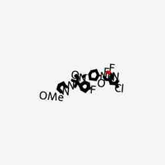 COc1cccc(N2CC3(C2)C(=O)N(C[C@H]2CC[C@H](NC(=O)c4cc(Cl)cnc4C(F)F)CC2)c2cc(F)ccc23)n1